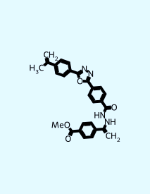 C=C(C)c1ccc(-c2nnc(-c3ccc(C(=O)NNC(=C)c4ccc(C(=O)OC)cc4)cc3)o2)cc1